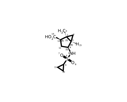 C[C@]12C[C@H]1[C@@H](NS(=O)(=O)C1CC1)C[C@H]2C(=O)O